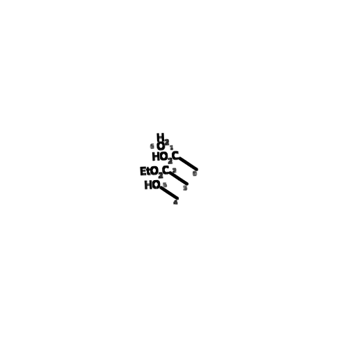 CC(=O)O.CCOC(C)=O.CO.O